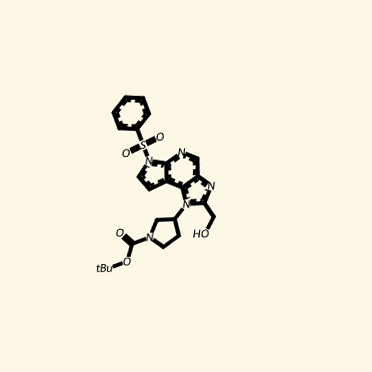 CC(C)(C)OC(=O)N1CCC(n2c(CO)nc3cnc4c(ccn4S(=O)(=O)c4ccccc4)c32)C1